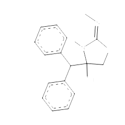 C/N=C1/SCC(O)(C(c2ccccc2)c2ccccc2)N1C.Cl